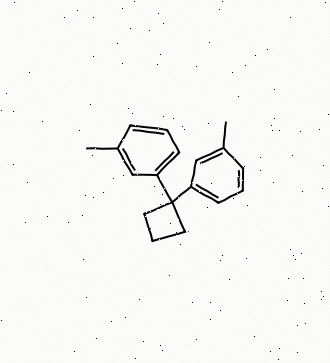 Cc1cccc(C2(c3cccc(C)c3)[CH]CC2)c1